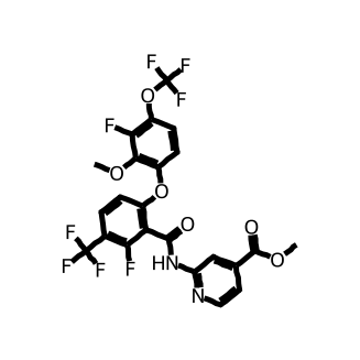 COC(=O)c1ccnc(NC(=O)c2c(Oc3ccc(OC(F)(F)F)c(F)c3OC)ccc(C(F)(F)F)c2F)c1